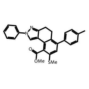 COC(=O)c1c(SC)cc(-c2ccc(C)cc2)c2c1-c1cn(-c3ccccc3)nc1CC2